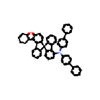 C1=Cc2oc3ccc4c(c3c2CC1)-c1ccccc1C41c2ccccc2-c2c(N(c3ccc(-c4ccccc4)cc3)c3ccc(-c4ccccc4)cc3)cccc21